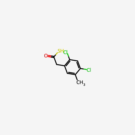 Cc1cc(CC(=O)S)c(Cl)cc1Cl